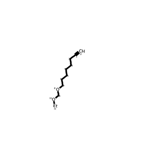 C#CCCCCCCOCOCC